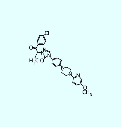 CCC(C(=O)c1ccc(Cl)cc1)n1ncn(-c2ccc(N3CCN(c4ccc(OC)cn4)CC3)cc2)c1=O